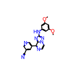 COc1cc(Nc2nc3c(-c4cncc(C#N)c4)nccn3n2)cc(OC)c1